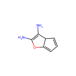 NC1=C(N)C2C=CC=C2O1